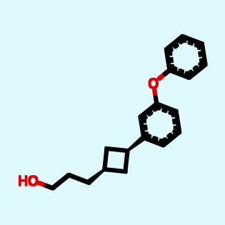 OCCC[C@H]1C[C@@H](c2cccc(Oc3ccccc3)c2)C1